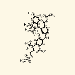 [2H]C([2H])([2H])N(CCOS(C)(=O)=O)c1cc(OC)c(Nc2ncc(C(=O)OC(C)C)c(N3c4ccc(C)nc4C(C)(C)C3([2H])[2H])n2)cc1[N+](=O)[O-]